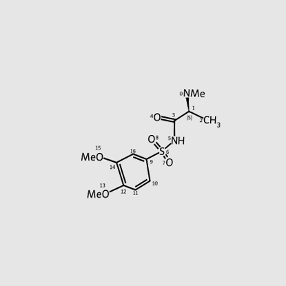 CN[C@@H](C)C(=O)NS(=O)(=O)c1ccc(OC)c(OC)c1